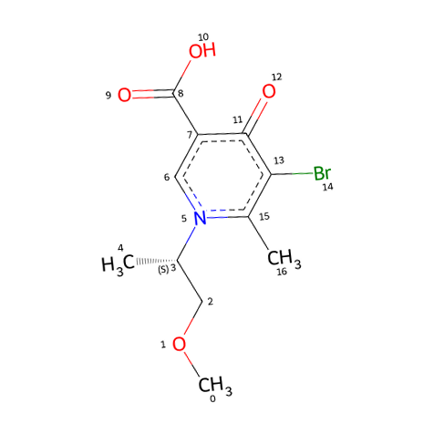 COC[C@H](C)n1cc(C(=O)O)c(=O)c(Br)c1C